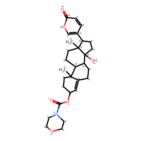 CC12CCC(OC(=O)N3CCOCC3)C=C1CCC1C2CCC2(C)C(c3ccc(=O)oc3)CCC12O